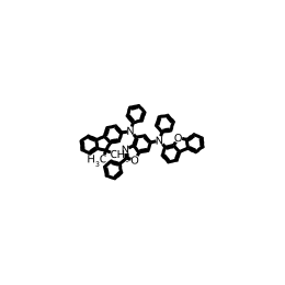 CC1(C)c2ccccc2-c2ccc(N(c3ccccc3)c3cc(N(c4ccccc4)c4cccc5c4oc4ccccc45)cc4oc(-c5ccccc5)nc34)cc21